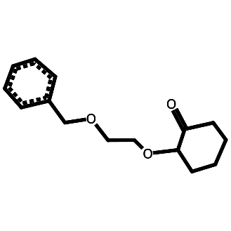 O=C1CCCCC1OCCOCc1ccccc1